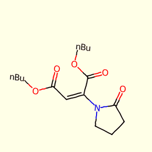 CCCCOC(=O)/C=C(\C(=O)OCCCC)N1CCCC1=O